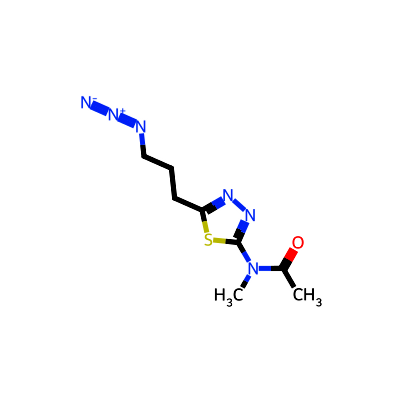 CC(=O)N(C)c1nnc(CCCN=[N+]=[N-])s1